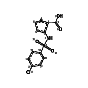 O=C(O)c1sccc1NS(=O)(=O)c1ccc(Cl)cc1